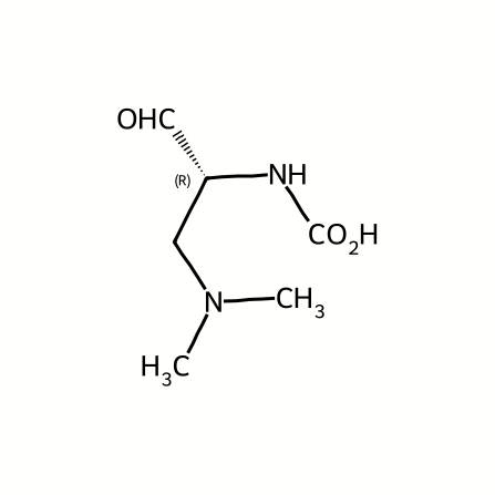 CN(C)C[C@H](C=O)NC(=O)O